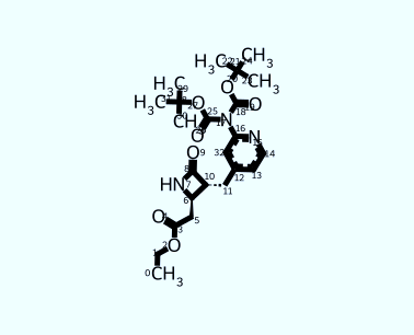 CCOC(=O)C[C@H]1NC(=O)[C@@H]1Cc1ccnc(N(C(=O)OC(C)(C)C)C(=O)OC(C)(C)C)c1